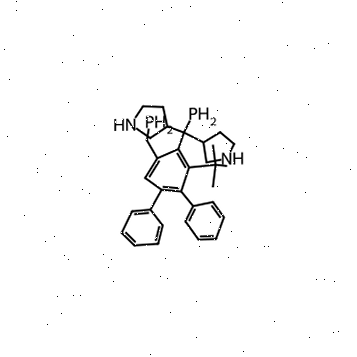 CC(C)(C)c1c(-c2ccccc2)c(-c2ccccc2)cc(CP)c1C(P)(C1CCNC1)C1CCNC1